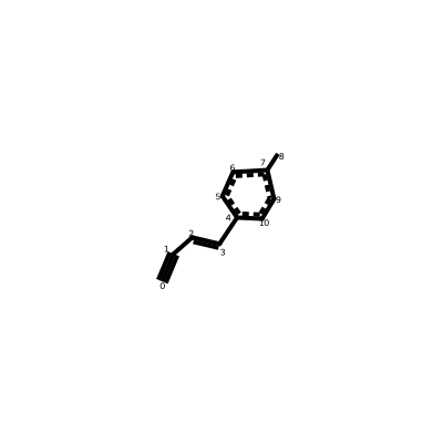 C#C/C=C/c1ccc(C)cc1